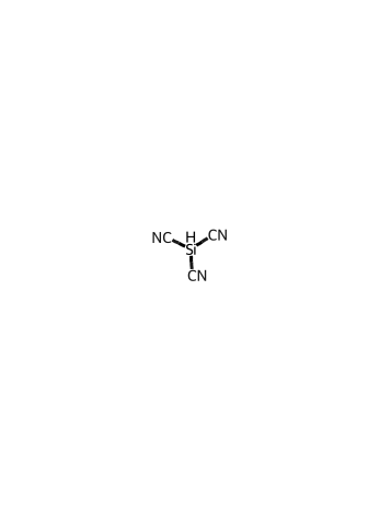 N#C[SiH](C#N)C#N